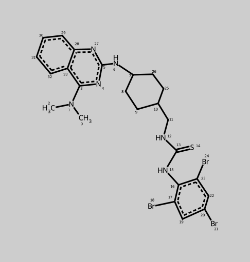 CN(C)c1nc(NC2CCC(CNC(=S)Nc3c(Br)cc(Br)cc3Br)CC2)nc2ccccc12